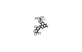 CC[C@H]1C(=O)OCc2c1cc1n(c2=O)Cc2c-1nc1cc(F)c(C)c3c1c2C(/C=N\C(=O)[C@@H](O)C(F)(F)F)CC3